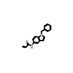 C=CC(=O)Nc1ccc2c(ccn2Cc2ccccc2)c1